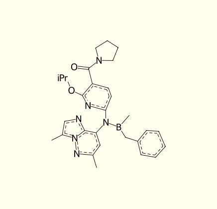 CB(Cc1ccccc1)N(c1ccc(C(=O)N2CCCC2)c(OC(C)C)n1)c1cc(C)nn2c(C)cnc12